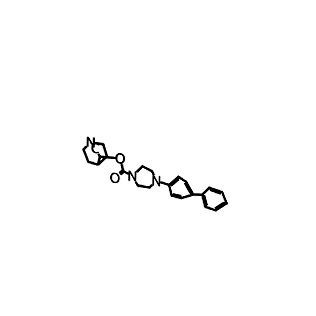 O=C(OC1CN2CCC1CC2)N1CCN(c2ccc(-c3ccccc3)cc2)CC1